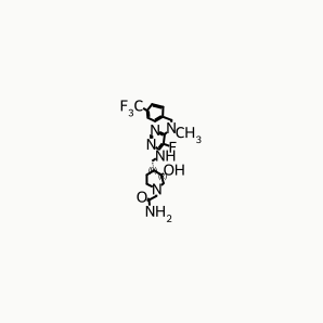 CN(Cc1ccc(C(F)(F)F)cc1)c1ncnc(NC[C@H]2CCN(CC(N)=O)C[C@@H]2O)c1F